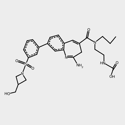 CCCN(CCNC(=O)O)C(=O)C1=Cc2ccc(-c3cccc(S(=O)(=O)N4CC(CO)C4)c3)cc2N=C(N)C1